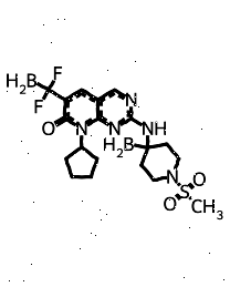 BC1(Nc2ncc3cc(C(B)(F)F)c(=O)n(C4CCCC4)c3n2)CCN(S(C)(=O)=O)CC1